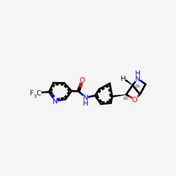 O=C(Nc1ccc([C@@H]2OC3CN[C@H]32)cc1)c1ccc(C(F)(F)F)nc1